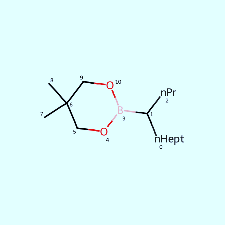 CCCCCCCC(CCC)B1OCC(C)(C)CO1